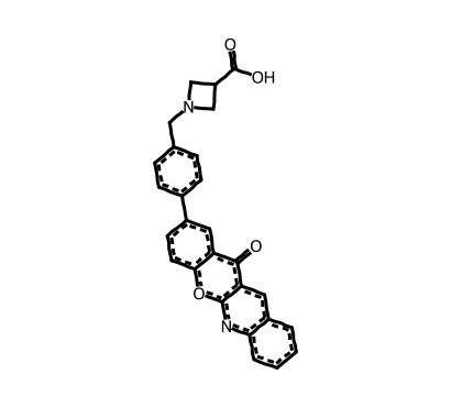 O=C(O)C1CN(Cc2ccc(-c3ccc4oc5nc6ccccc6cc5c(=O)c4c3)cc2)C1